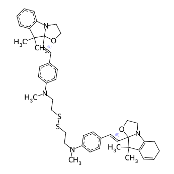 CN(CCSSCCN(C)c1ccc(/C=C/C23OCCN2c2ccccc2C3(C)C)cc1)c1ccc(/C=C/C23OCCN2C2=C(C=CCC2)C3(C)C)cc1